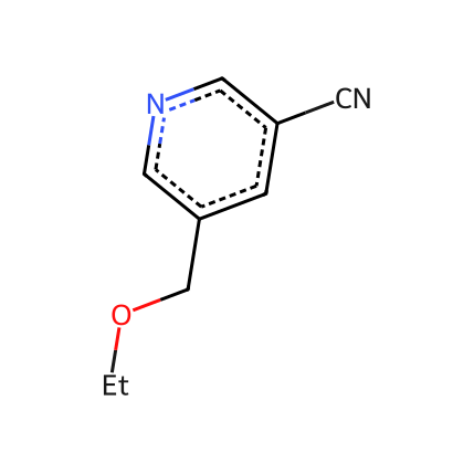 CCOCc1cncc(C#N)c1